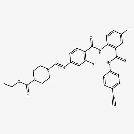 C#Cc1ccc(NC(=O)c2cc(Cl)ccc2NC(=O)c2ccc(/N=C/N3CCC(C(=O)OCC)CC3)cc2F)cc1